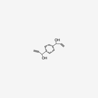 C#CC(O)c1ccc(C(O)C#C)cc1